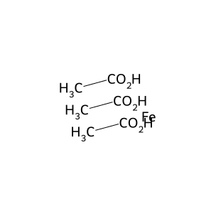 CC(=O)O.CC(=O)O.CC(=O)O.[Fe]